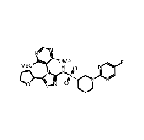 COc1ncnc(OC)c1-n1c(NS(=O)(=O)[C@H]2CCCN(c3ncc(F)cn3)C2)nnc1[C@@H]1CCCO1